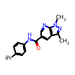 Cc1nn(C)c2ncc(C(=O)Nc3ccc(C(C)C)cc3)cc12